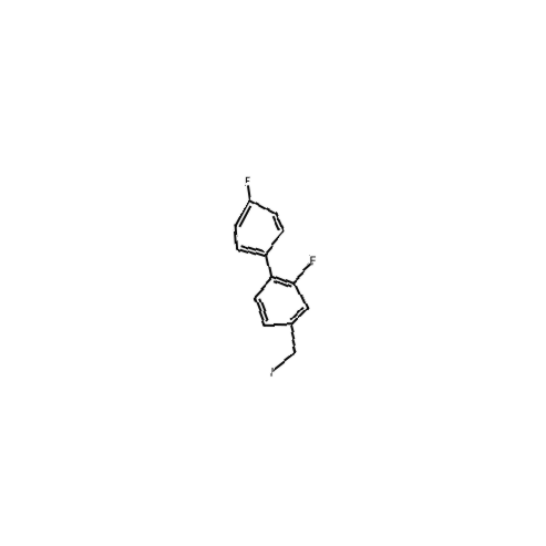 Fc1ccc(-c2ccc(CI)cc2F)cc1